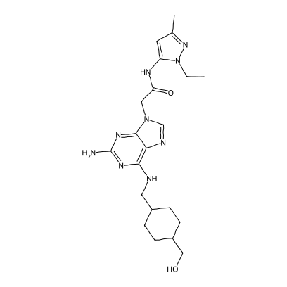 CCn1nc(C)cc1NC(=O)Cn1cnc2c(NCC3CCC(CO)CC3)nc(N)nc21